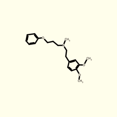 COc1ccc(CCN(C)CCCOc2cc[c]cc2)cc1OC